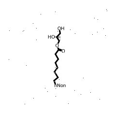 CCCCCCCCCCCCCCCCC(=O)OC[C@H](O)CO